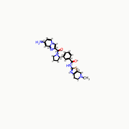 CN1CCc2nc(NC(=O)c3cccc([C@H]4CCCN4C(=O)c4cn5ccc(N)cc5n4)c3)sc2C1